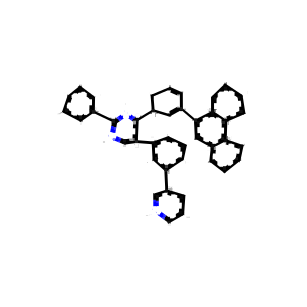 C1=CC(c2cc3ccccc3c3ccccc23)=CC(c2nc(-c3ccccc3)ncc2-c2cccc(-c3cccnc3)c2)C1